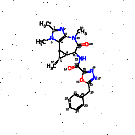 Cc1nc2c(n1C)C1C([C@H]1C)[C@H](NC(=O)c1nnc(Cc3ccccc3)o1)C(=O)N2C